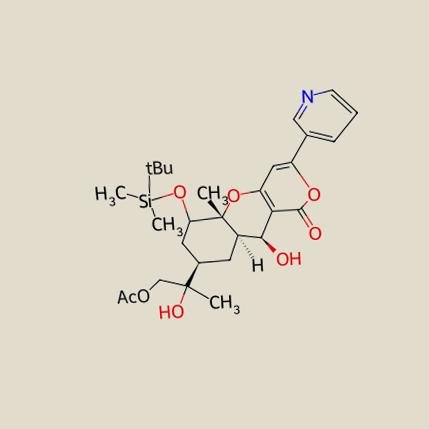 CC(=O)OCC(C)(O)[C@H]1CC(O[Si](C)(C)C(C)(C)C)[C@]2(C)Oc3cc(-c4cccnc4)oc(=O)c3[C@@H](O)[C@H]2C1